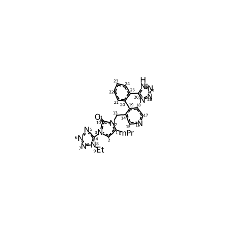 CCCc1cn(-c2nnnn2CC)c(=O)n1Cc1cnccc1-c1ccccc1-c1nnn[nH]1